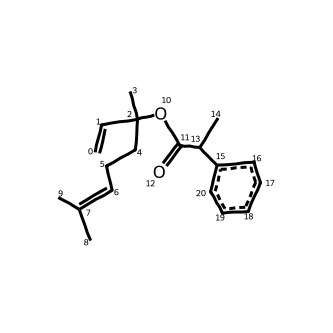 C=CC(C)(CCC=C(C)C)OC(=O)C(C)c1ccccc1